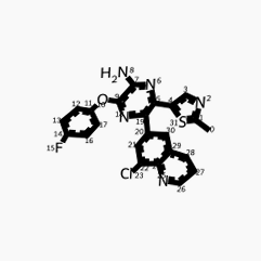 Cc1ncc(-c2nc(N)c(Oc3ccc(F)cc3)nc2-c2cc(Cl)c3ncccc3c2)s1